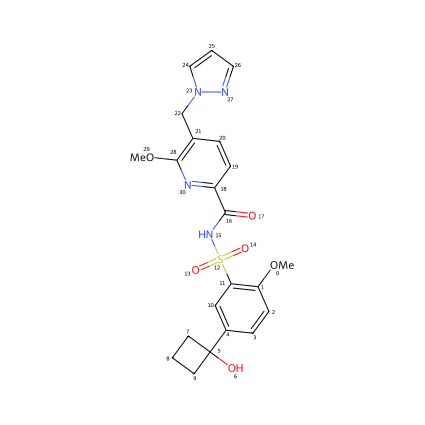 COc1ccc(C2(O)CCC2)cc1S(=O)(=O)NC(=O)c1ccc(Cn2cccn2)c(OC)n1